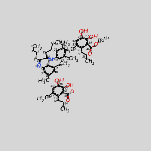 CCCCC(=Nc1cc(C)cc(C)c1)C(CCCC)=Nc1cc(C)cc(C)c1.CCCc1c(C)cc(O)c(O)c1C(=O)[O-].CCCc1c(C)cc(O)c(O)c1C(=O)[O-].[Pd+2]